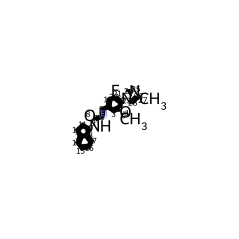 COc1cc(/C=C/C(=O)NC2CCc3ccccc32)cc(F)c1-n1cnc(C)c1